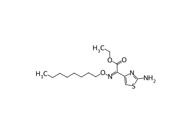 CCCCCCCCON=C(C(=O)OCC)c1csc(N)n1